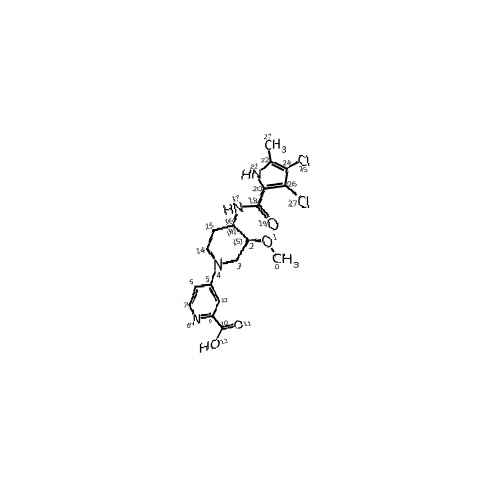 CO[C@H]1CN(c2ccnc(C(=O)O)c2)CC[C@H]1NC(=O)c1[nH]c(C)c(Cl)c1Cl